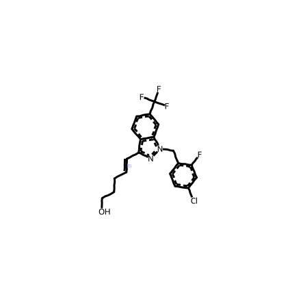 OCCC/C=C/c1nn(Cc2ccc(Cl)cc2F)c2cc(C(F)(F)F)ccc12